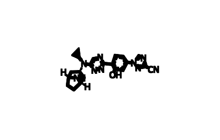 N#Cc1ncn(-c2ccc(-c3ncc(N(C4CC4)[C@@H]4C[C@H]5CC[C@@H](C4)N5)nn3)c(O)c2)n1